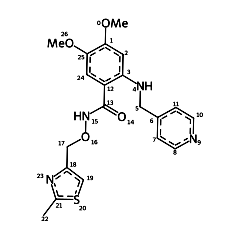 COc1cc(NCc2ccncc2)c(C(=O)NOCc2csc(C)n2)cc1OC